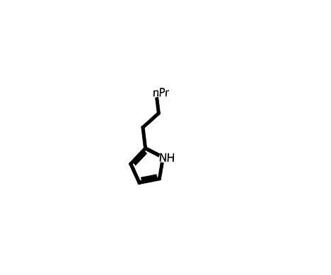 [CH2]CCCCc1ccc[nH]1